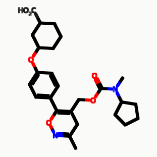 CC1=NOC(c2ccc(OC3CCCC(C(=O)O)C3)cc2)=C(COC(=O)N(C)C2CCCC2)C1